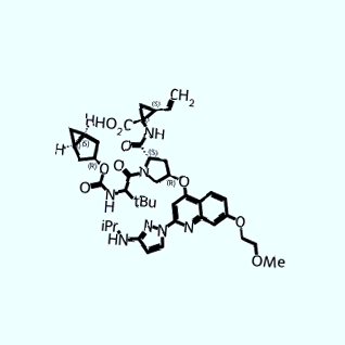 C=C[C@@H]1C[C@]1(NC(=O)[C@@H]1C[C@@H](Oc2cc(-n3ccc(NC(C)C)n3)nc3cc(OCCOC)ccc23)CN1C(=O)C(NC(=O)O[C@@H]1C[C@@H]2C[C@@H]2C1)C(C)(C)C)C(=O)O